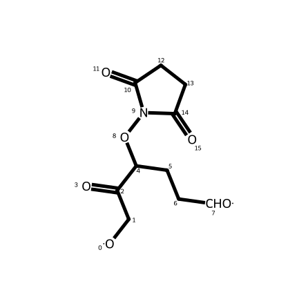 [O]CC(=O)C(CC[C]=O)ON1C(=O)CCC1=O